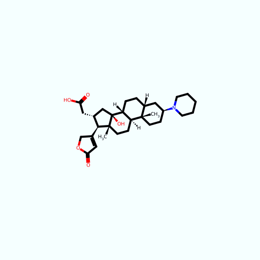 C[C@]12CC[C@H](N3CCCCC3)C[C@H]1CC[C@@H]1[C@@H]2CC[C@]2(C)[C@@H](C3=CC(=O)OC3)[C@H](CC(=O)O)C[C@]12O